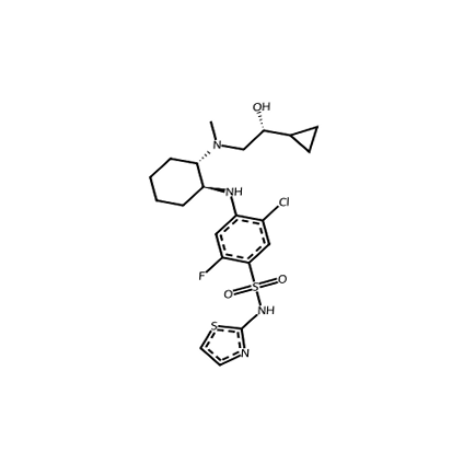 CN(C[C@H](O)C1CC1)[C@H]1CCCC[C@@H]1Nc1cc(F)c(S(=O)(=O)Nc2nccs2)cc1Cl